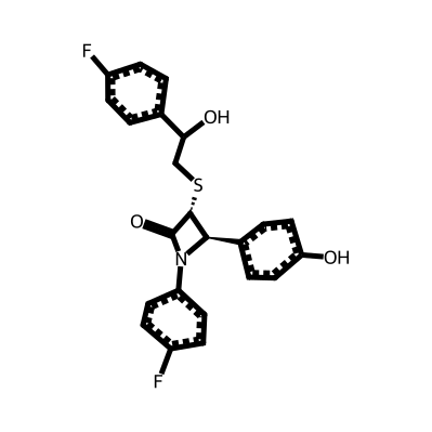 O=C1[C@H](SCC(O)c2ccc(F)cc2)[C@@H](c2ccc(O)cc2)N1c1ccc(F)cc1